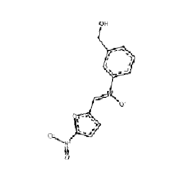 O=[N+]([O-])c1ccc(C=[N+]([O-])c2cccc(CO)c2)o1